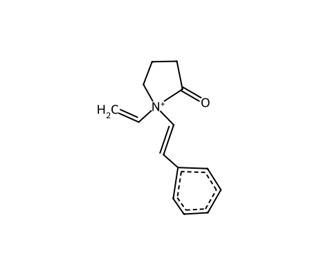 C=C[N+]1(C=Cc2ccccc2)CCCC1=O